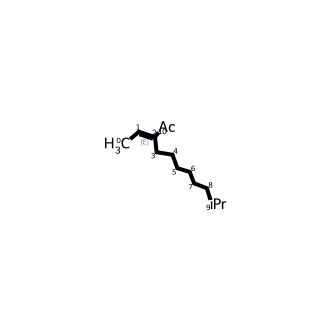 C/C=C(\CCCCCCC(C)C)C(C)=O